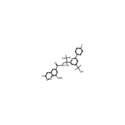 COc1cc(C(=O)NCC(O)(c2cc(C(C)(C)O)cc(-c3ccc(F)cc3)n2)C(C)(F)F)cc2cc(C)nnc12